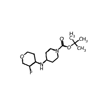 CC(C)(C)OC(=O)N1CCC(NC2CCOCC2F)CC1